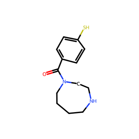 O=C(c1ccc(S)cc1)N1CCCCNCC1